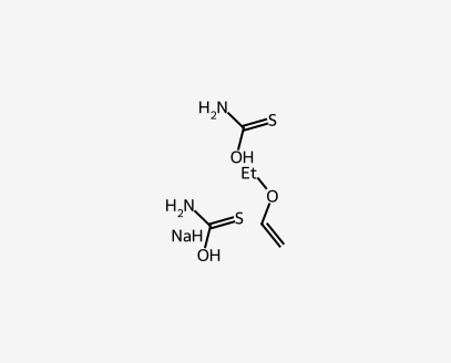 C=COCC.NC(O)=S.NC(O)=S.[NaH]